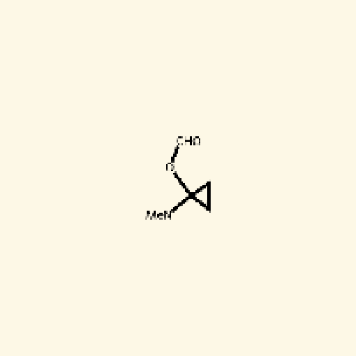 CNC1(OC=O)CC1